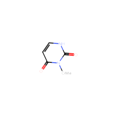 COn1c(=O)cc[nH]c1=O